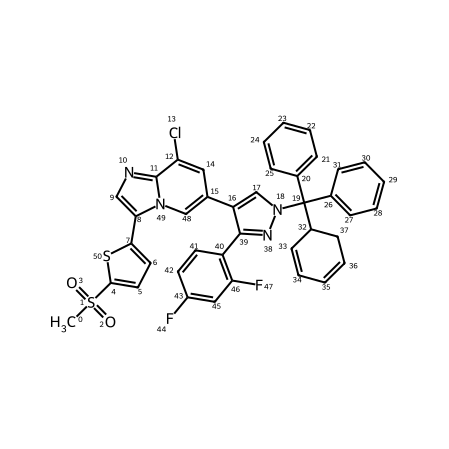 CS(=O)(=O)c1ccc(-c2cnc3c(Cl)cc(-c4cn(C(c5ccccc5)(c5ccccc5)C5C=CC=CC5)nc4-c4ccc(F)cc4F)cn23)s1